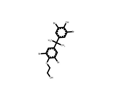 CC(C)(c1cc(Br)c(O)c(Br)c1)c1cc(Br)c(OCCO)c(Br)c1